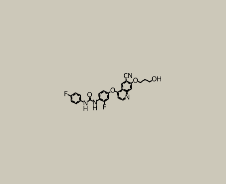 N#Cc1cc2c(Oc3ccc(NC(=O)Nc4ccc(F)cc4)c(F)c3)ccnc2cc1OCCCO